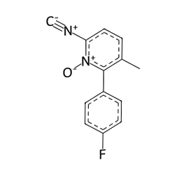 [C-]#[N+]c1ccc(C)c(-c2ccc(F)cc2)[n+]1[O-]